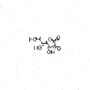 O=C1O[C@@H]([C@H](O)CO)[C@@H](O)C1=O